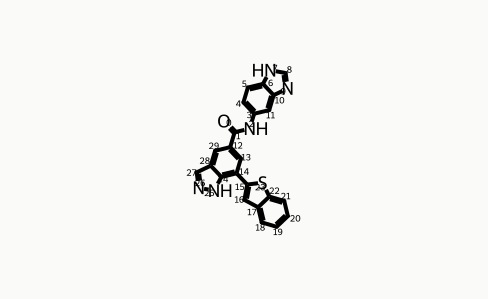 O=C(Nc1ccc2[nH]cnc2c1)c1cc(-c2cc3ccccc3s2)c2[nH]ncc2c1